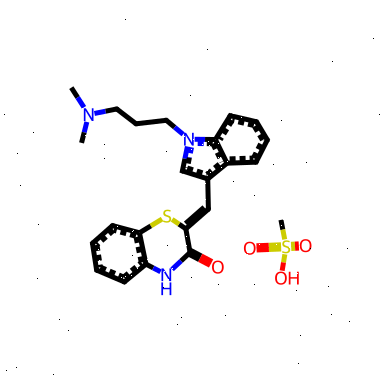 CN(C)CCCn1cc(C=C2Sc3ccccc3NC2=O)c2ccccc21.CS(=O)(=O)O